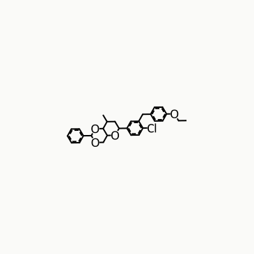 CCOc1ccc(Cc2cc(C3CC(C)C4OC(c5ccccc5)OCC4O3)ccc2Cl)cc1